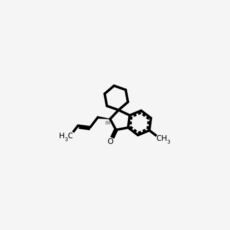 CC=CC[C@@H]1C(=O)c2cc(C)ccc2C12CCCCC2